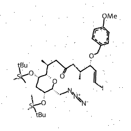 COc1ccc(CO[C@H](/C=C/I)[C@@H](C)CC(=O)C[C@H](C)[C@@H]2O[C@H](CN=[N+]=[N-])[C@H](O[Si](C)(C)C(C)(C)C)C[C@@H]2O[Si](C)(C)C(C)(C)C)cc1